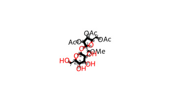 COC[C@@]1(O[C@H]2O[C@H](CO)[C@@H](O)[C@H](O)[C@H]2O)O[C@H](COC(C)=O)[C@@H](OC(C)=O)[C@@H]1OC(C)=O